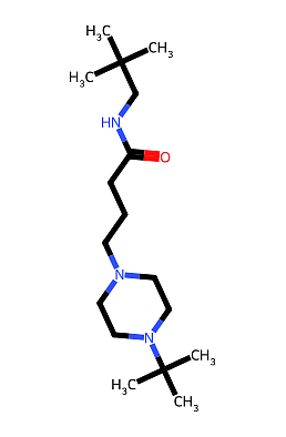 CC(C)(C)CNC(=O)CCCN1CCN(C(C)(C)C)CC1